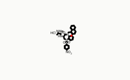 CNC(C)C(=O)N[C@H]1CN(S(=O)(=O)c2ccc([N+](=O)[O-])cc2)c2ccccc2N(Cc2c(C)ccc3ccccc23)C1=O.Cl